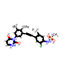 COc1c(C#Cc2cc(F)c(NS(C)(=O)=O)cc2C(F)(F)F)cc(-n2c(=O)cc[nH]c2=O)cc1C(C)(C)C